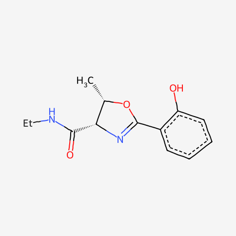 CCNC(=O)[C@H]1N=C(c2ccccc2O)O[C@H]1C